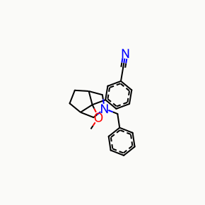 COC1(c2cccc(C#N)c2)C2CCC1CN(Cc1ccccc1)C2